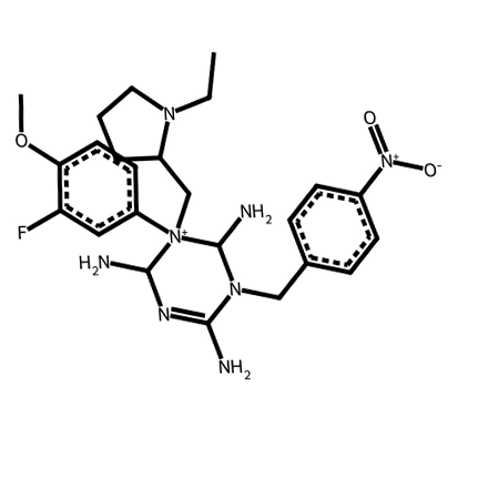 CCN1CCCC1C[N+]1(c2ccc(OC)c(F)c2)C(N)N=C(N)N(Cc2ccc([N+](=O)[O-])cc2)C1N